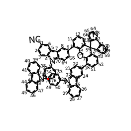 N#Cc1ccc2c(c1)c1cc(-c3cccc4c3Oc3c(-c5ccc6c(c5)c5ccccc5n6-c5ccc(-n6c7ccccc7c7ccccc76)cc5)cccc3C43c4cccnc4-c4ncccc43)ccc1n2-c1ccccc1